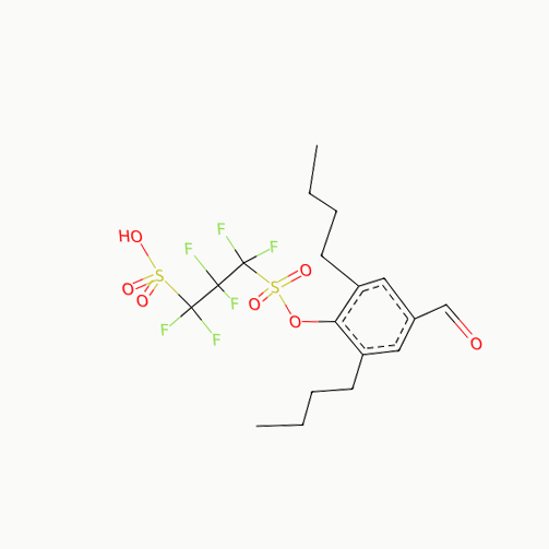 CCCCc1cc(C=O)cc(CCCC)c1OS(=O)(=O)C(F)(F)C(F)(F)C(F)(F)S(=O)(=O)O